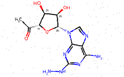 CC(=O)[C@H]1O[C@@H](n2cnc3c(N)nc(NN)nc32)[C@H](O)[C@@H]1O